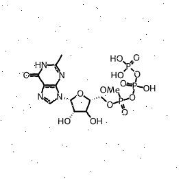 COP(=O)(OC[C@H]1O[C@@H](n2cnc3c(=O)[nH]c(C)nc32)[C@@H](O)C1O)OP(=O)(O)OP(=O)(O)O